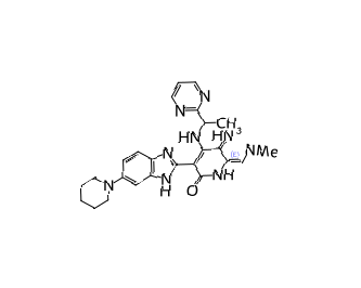 CN/C=C1/NC(=O)C(c2nc3ccc(N4CCCCC4)cc3[nH]2)=C(NC(C)c2ncccn2)C1=N